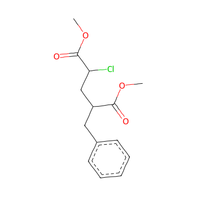 COC(=O)C(Cl)CC(Cc1ccccc1)C(=O)OC